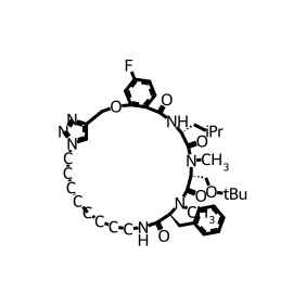 CC(C)C[C@H]1NC(=O)c2ccc(F)cc2OCc2cn(nn2)CCCCCCCCNC(=O)[C@H](Cc2ccccc2)N(C)C(=O)[C@@H](COC(C)(C)C)N(C)C1=O